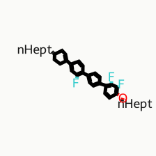 CCCCCCCOc1ccc(-c2ccc(-c3ccc(C4=CCC(CCCCCCC)CC4)cc3F)cc2)c(F)c1F